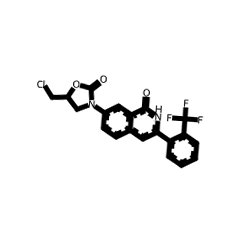 O=C1OC(CCl)CN1c1ccc2cc(-c3ccccc3C(F)(F)F)[nH]c(=O)c2c1